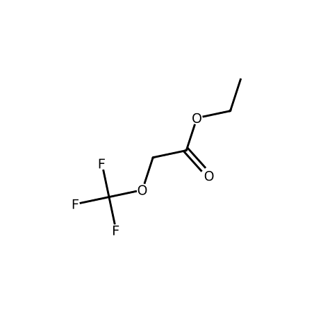 CCOC(=O)COC(F)(F)F